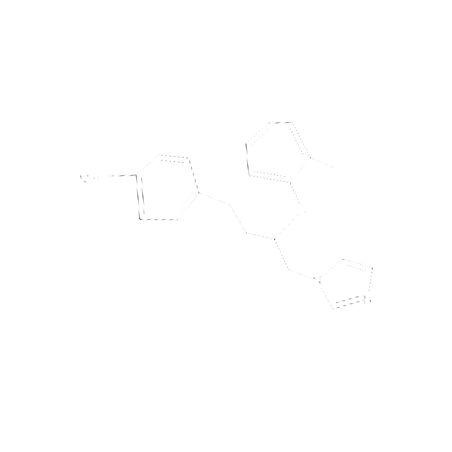 COc1ccc(CCC(Cn2ccnc2)Sc2ccccc2C(C)C)cc1